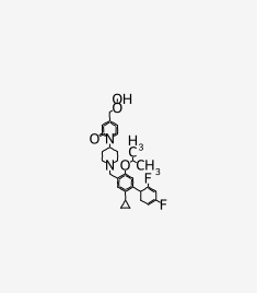 CC(C)Oc1cc(C2CC=C(F)C=C2F)c(C2CC2)cc1CN1CCC(n2ccc(COO)cc2=O)CC1